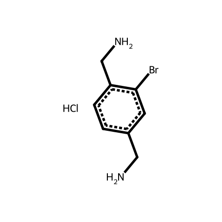 Cl.NCc1ccc(CN)c(Br)c1